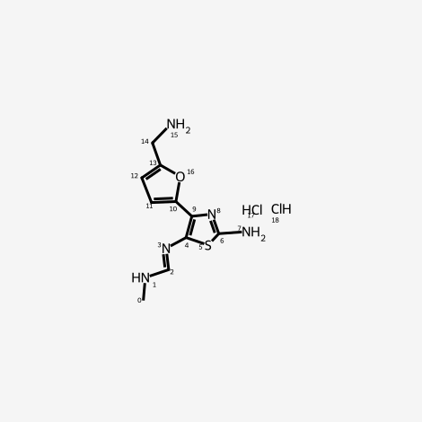 CNC=Nc1sc(N)nc1-c1ccc(CN)o1.Cl.Cl